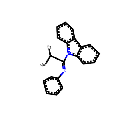 CCCCC(CC)C(=Nc1ccccc1)n1c2ccccc2c2ccccc21